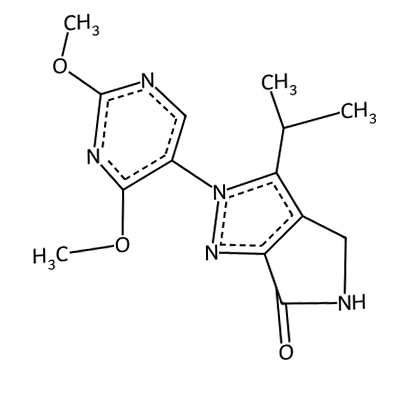 COc1ncc(-n2nc3c(c2C(C)C)CNC3=O)c(OC)n1